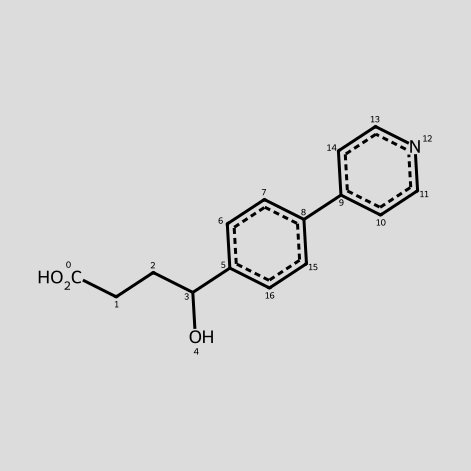 O=C(O)CCC(O)c1ccc(-c2ccncc2)cc1